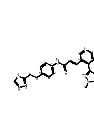 Cn1ccc(-c2ccncc2/C=C/C(=O)Nc2ccc(CCc3nnco3)cc2)n1